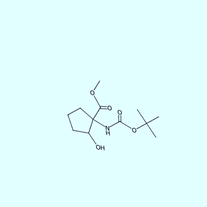 COC(=O)C1(NC(=O)OC(C)(C)C)CCCC1O